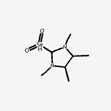 CC1C(C)N(C)C([SeH](=O)=O)N1C